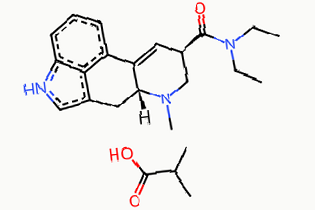 CC(C)C(=O)O.CCN(CC)C(=O)[C@@H]1C=C2c3cccc4[nH]cc(c34)C[C@H]2N(C)C1